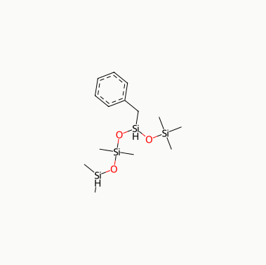 C[SiH](C)O[Si](C)(C)O[SiH](Cc1ccccc1)O[Si](C)(C)C